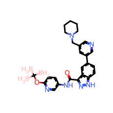 BC(B)(B)Oc1ccc(NC(=O)c2n[nH]c3ccc(-c4cncc(CN5CCCCC5)c4)cc23)cn1